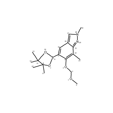 COCOc1c(B2OC(C)(C)C(C)(C)O2)cc2cn(C)nc2c1C